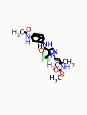 COC(=O)NC(C)(C)/C=C/n1ncc(C(=O)N[C@H]2C3CC4CC2C[C@](NC(C)=O)(C4)C3)c1C(F)(F)F